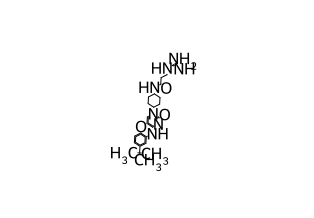 CC(C)(C)c1ccc2c(c1)Nc1nc(=O)n(C3CCC(NC(=O)CCNC(=N)N)CC3)cc1O2